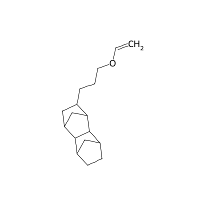 C=COCCCC1CC2CC1C1C3CCC(C3)C21